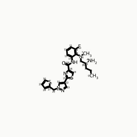 CCC[C@@H](N)CN(C)c1c(F)cccc1NC(=O)c1csc(-c2cnn(Cc3cccs3)c2)n1